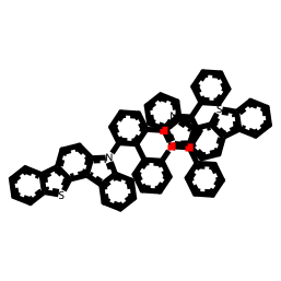 c1ccc(-c2cc(-c3ccccc3)nc(-c3cccc(-n4c5ccccc5c5c6sc7ccccc7c6ccc54)c3-c3ccccc3-n3c4ccccc4c4c5sc6ccccc6c5ccc43)n2)cc1